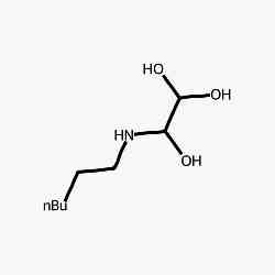 CCCCCCNC(O)C(O)O